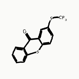 O=c1c2ccccc2sc2ccc(SC(F)(F)F)cc12